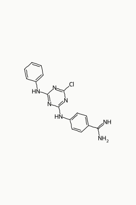 N=C(N)c1ccc(Nc2nc(Cl)nc(Nc3ccccc3)n2)cc1